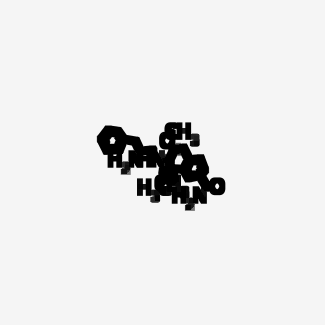 CCC1(CC)c2cc(C(N)=O)ccc2C[C@H](OC)[C@H]1NCC(N)Cc1ccccc1